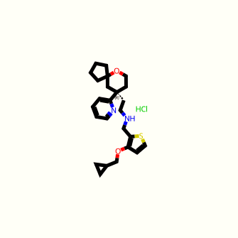 Cl.c1ccc([C@]2(CCNCc3sccc3OCC3CC3)CCOC3(CCCC3)C2)nc1